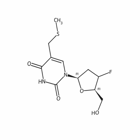 CSCc1cn([C@H]2CC(F)[C@@H](CO)O2)c(=O)[nH]c1=O